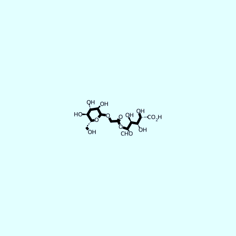 O=C[C@H](OC(=O)COC1O[C@H](CO)[C@@H](O)[C@H](O)[C@H]1O)[C@@H](O)[C@@H](O)[C@H](O)C(=O)O